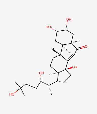 C[C@@H]([C@H]1CC[C@@]2(O)C3=CC(=O)[C@@H]4C[C@@H](O)[C@@H](O)C[C@]4(C)[C@H]3CC[C@]12C)[C@@H](O)CCC(C)(C)O